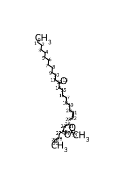 CCCCCCCCCCCCC(=O)CCCCCCC/C=C\C[C@@H](CCCCCC)OC(C)=O